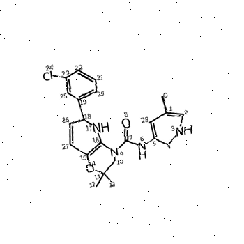 CC1=CNCC(NC(=O)N2CC(C)(C)OC3=C2NC(c2cccc(Cl)c2)C=C3)=C1